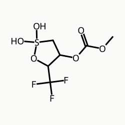 COC(=O)OC1CS(O)(O)OC1C(F)(F)F